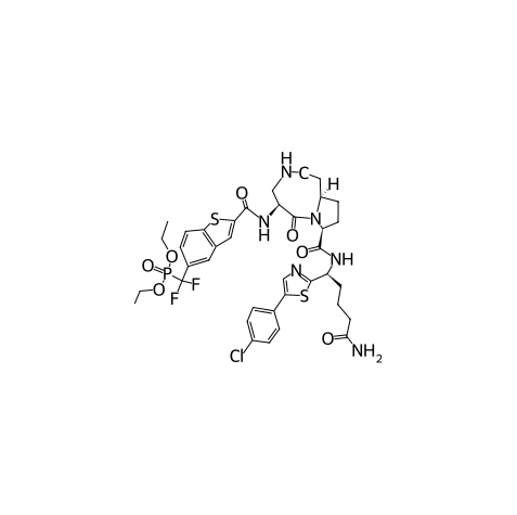 CCOP(=O)(OCC)C(F)(F)c1ccc2sc(C(=O)N[C@H]3CNCC[C@H]4CC[C@@H](C(=O)N[C@@H](CCCC(N)=O)c5ncc(-c6ccc(Cl)cc6)s5)N4C3=O)cc2c1